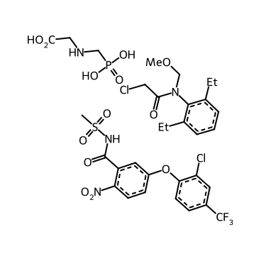 CCc1cccc(CC)c1N(COC)C(=O)CCl.CS(=O)(=O)NC(=O)c1cc(Oc2ccc(C(F)(F)F)cc2Cl)ccc1[N+](=O)[O-].O=C(O)CNCP(=O)(O)O